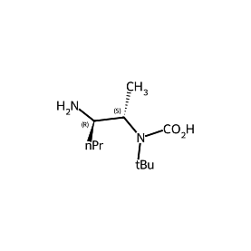 CCC[C@@H](N)[C@H](C)N(C(=O)O)C(C)(C)C